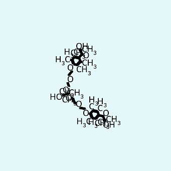 Cc1c(C)c(C(=O)C(C)(C)O)c(C)c(C)c1OCCOCCOC(C)(OCCOCCOc1c(C)c(C)c(C(=O)C(C)(C)O)c(C)c1C)C(C)(C)O